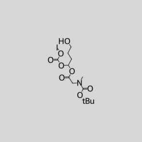 CN(CC(=O)OC(CCCO)OC(=O)OI)C(=O)OC(C)(C)C